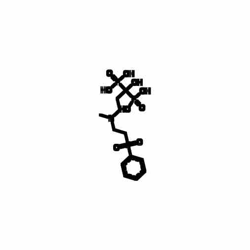 CN(CCC(O)(P(=O)(O)O)P(=O)(O)O)CCS(=O)(=O)c1ccccc1